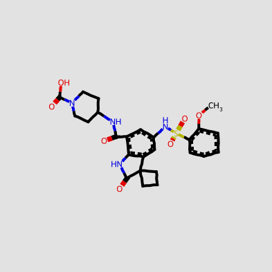 COc1ccccc1S(=O)(=O)Nc1cc(C(=O)NC2CCN(C(=O)O)CC2)c2c(c1)C1(CCC1)C(=O)N2